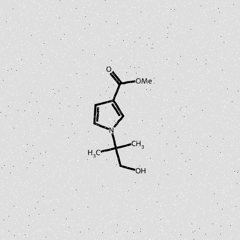 COC(=O)c1ccn(C(C)(C)CO)c1